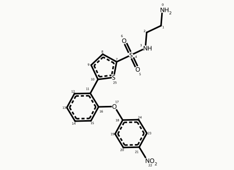 NCCNS(=O)(=O)c1ccc(-c2ccccc2Oc2ccc([N+](=O)[O-])cc2)s1